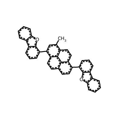 Cc1cc(-c2cccc3c2oc2ccccc23)c2ccc3ccc(-c4cccc5c4oc4ccccc45)c4ccc1c2c34